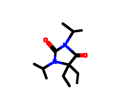 CCC1(CC)C(=O)N(C(C)C)C(=O)N1C(C)C